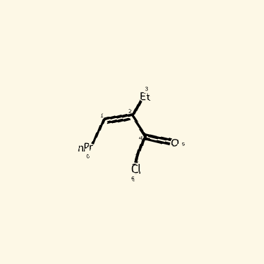 CCCC=C(CC)C(=O)Cl